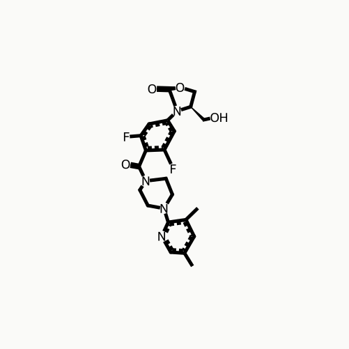 Cc1cnc(N2CCN(C(=O)c3c(F)cc(N4C(=O)OC[C@H]4CO)cc3F)CC2)c(C)c1